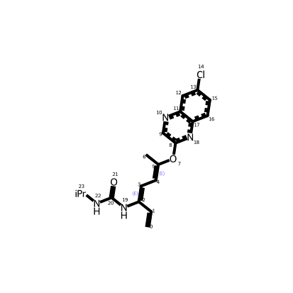 C=C/C(=C\C=C(/C)Oc1cnc2cc(Cl)ccc2n1)NC(=O)NC(C)C